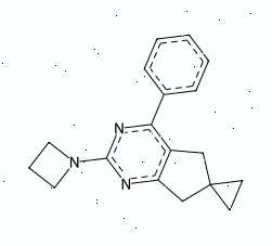 c1ccc(-c2nc(N3CCC3)nc3c2CC2(CC2)C3)cc1